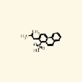 C=C(C)Cc1ccc2c(ccc3ccccc32)c1S(=O)(=O)O